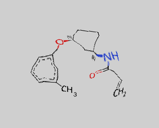 C=CC(=O)N[C@@H]1CC[C@H](Oc2cccc(C)c2)C1